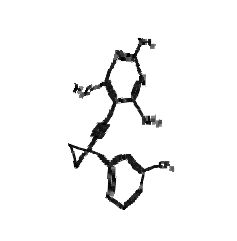 Cc1nc(N)nc(N)c1C#CC1(c2cccc(C(F)(F)F)c2)CC1